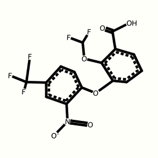 O=C(O)c1cccc(Oc2ccc(C(F)(F)F)cc2[N+](=O)[O-])c1OC(F)F